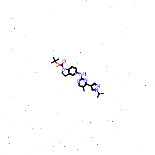 Cc1cnc(Nc2ccc3c(c2)CCN3C(=O)OC(C)(C)C)nc1-c1cnn(C(C)C)c1